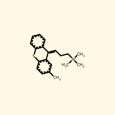 Cc1ccc2c(c1)C(=CCC[N+](C)(C)C)c1ccccc1S2